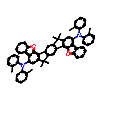 Cc1ccccc1N(c1ccccc1C)c1cc2c(c3oc4ccccc4c13)-c1cc3c(cc1C2(C)C)-c1c(cc(N(c2ccccc2C)c2ccccc2C)c2c1oc1ccccc12)C3(C)C